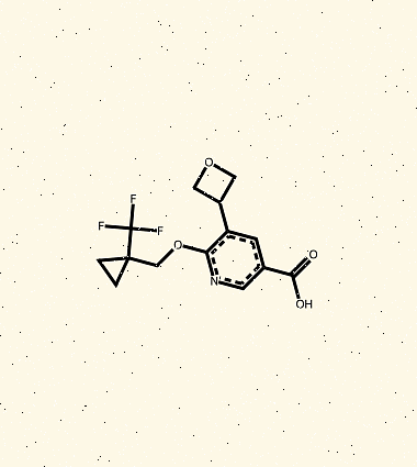 O=C(O)c1cnc(OCC2(C(F)(F)F)CC2)c(C2COC2)c1